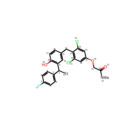 CCC(c1ccc(F)cc1)c1cc(Cc2c(Cl)cc(OCC(=O)NC)cc2Cl)ccc1O